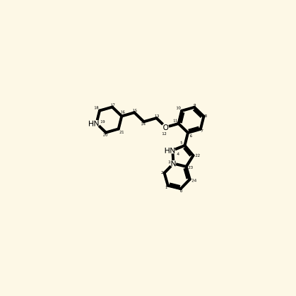 C1=CCN2NC(c3ccccc3OCCCC3CCNCC3)=CC2=C1